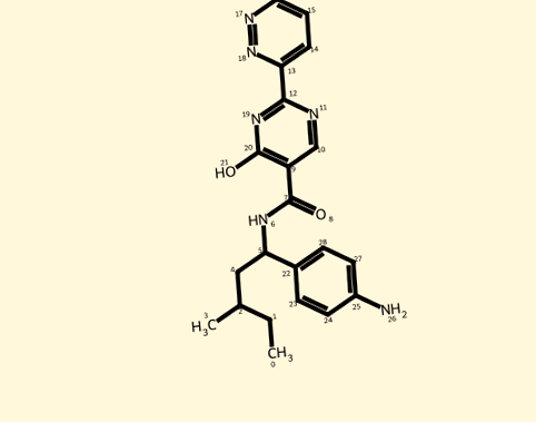 CCC(C)CC(NC(=O)c1cnc(-c2cccnn2)nc1O)c1ccc(N)cc1